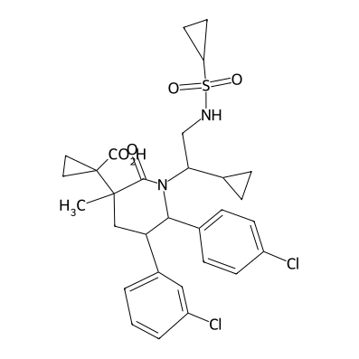 CC1(C2(C(=O)O)CC2)CC(c2cccc(Cl)c2)C(c2ccc(Cl)cc2)N(C(CNS(=O)(=O)C2CC2)C2CC2)C1=O